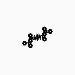 c1ccc(-n2c3ccccc3c3cc4c(cc32)c2ccccc2n4-c2cnc3nc(-n4c5ccccc5c5cc6c(cc54)c4ccccc4n6-c4ccccc4)cnc3n2)cc1